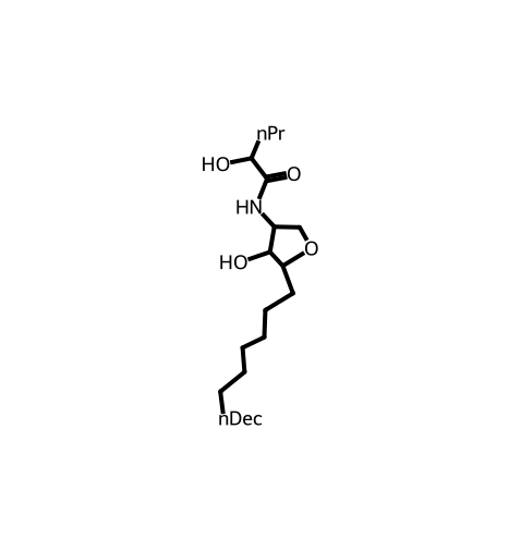 CCCCCCCCCCCCCCCCC1OCC(NC(=O)C(O)CCC)C1O